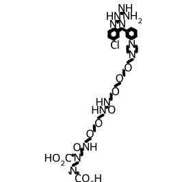 CN(CCN(CC(=O)O)CC(=O)NCCOCCOCCNC(=O)NCCOCCOCCOCCN1CCN(c2cccc(-c3nc(NC(=N)N)nc4ccc(Cl)cc34)c2)CC1)CC(=O)O